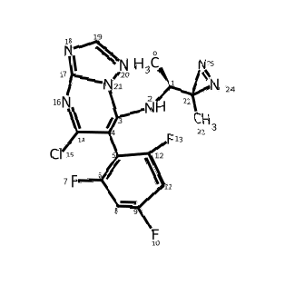 C[C@H](Nc1c(-c2c(F)cc(F)cc2F)c(Cl)nc2ncnn12)C1(C)N=N1